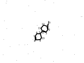 IC1=CC=C(C2CC=CCC2)CC1